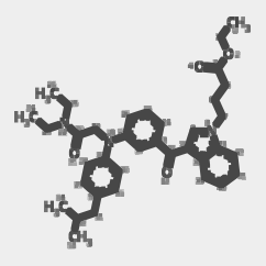 CCOC(=O)CCCn1cc(C(=O)c2cccc(N(CC(=O)N(CC)CC)c3ccc(CC(C)C)cc3)c2)c2ccccc21